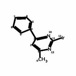 Cc1cc(-c2ccccc2)n[c]([Ir])n1